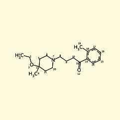 CCOC1(C)CCN(CCCC(=O)c2ccccc2C)CC1